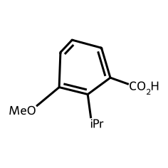 COc1cccc(C(=O)O)c1C(C)C